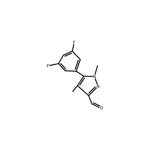 Cc1c(C=O)nn(C)c1-c1cc(F)cc(F)c1